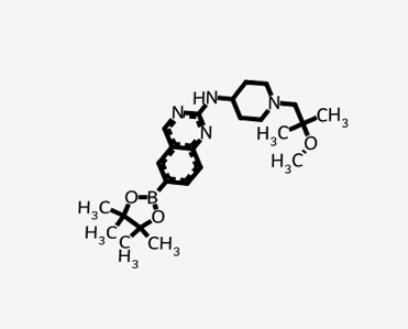 COC(C)(C)CN1CCC(Nc2ncc3cc(B4OC(C)(C)C(C)(C)O4)ccc3n2)CC1